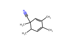 CC1=CC(C)C(C)(C#N)C=C1C